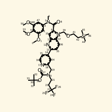 COc1cc(N(C)C(=O)c2cc3nc(-c4ccnc(CN(CCC(F)(F)F)C(=O)OC(C)(C)C)c4)ccc3n2COCC[Si](C)(C)C)cc(OC)c1OC